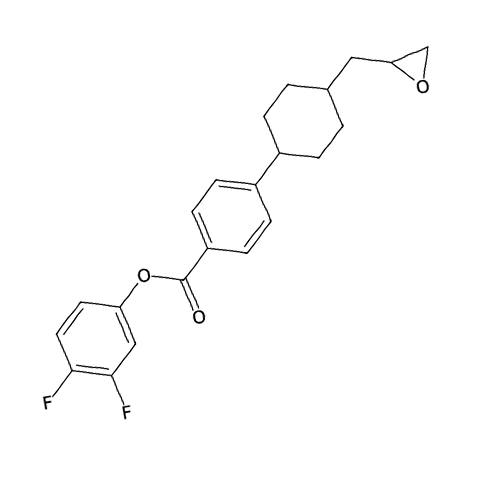 O=C(Oc1ccc(F)c(F)c1)c1ccc(C2CCC(CC3CO3)CC2)cc1